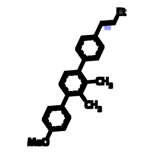 CC/C=C/c1ccc(-c2ccc(-c3ccc(OC)cc3)c(C)c2C)cc1